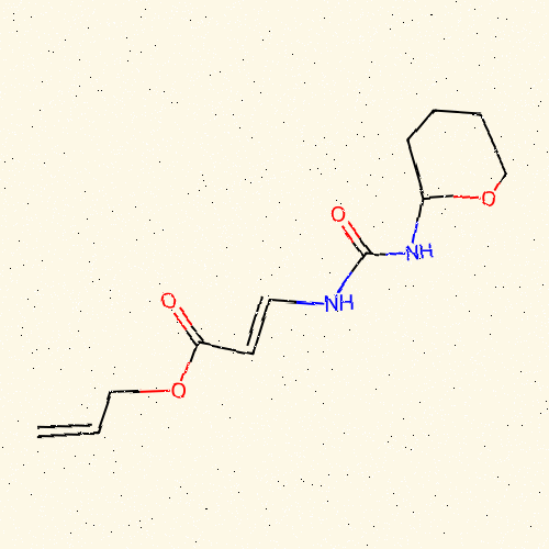 C=CCOC(=O)C=CNC(=O)NC1CCCCO1